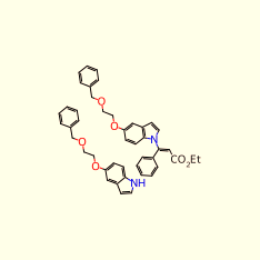 CCOC(=O)C=C(c1ccccc1)n1ccc2cc(OCCOCc3ccccc3)ccc21.c1ccc(COCCOc2ccc3[nH]ccc3c2)cc1